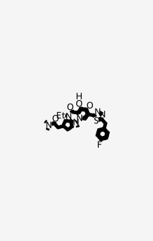 CCN1C(=O)c2c(O)c(=O)c(-c3nnc(Cc4ccc(F)cc4)s3)cn2N(C)C12CCC(CC(=O)N(C)C)C2